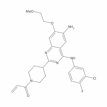 C=CC(=O)N1CCC(c2nc(Nc3ccc(F)c(Cl)c3)c3cc(N)c(OCCOC)cc3n2)CC1